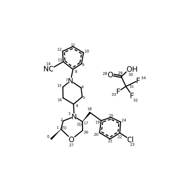 C[C@H]1CN(C2CCN(c3ccccc3C#N)CC2)[C@@H](Cc2ccc(Cl)cc2)CO1.O=C(O)C(F)(F)F